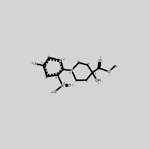 COC(=O)C1(O)CCN(c2ncc(F)cc2[N+](=O)[O-])CC1